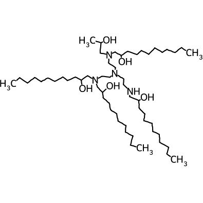 CCCCCCCCCCC(O)CNCCN(CCN(CC(C)O)CC(O)CCCCCCCCCC)CCN(CC(O)CCCCCCCCCC)CC(O)CCCCCCCCCC